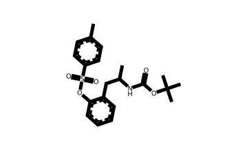 Cc1ccc(S(=O)(=O)Oc2ccccc2CC(C)NC(=O)OC(C)(C)C)cc1